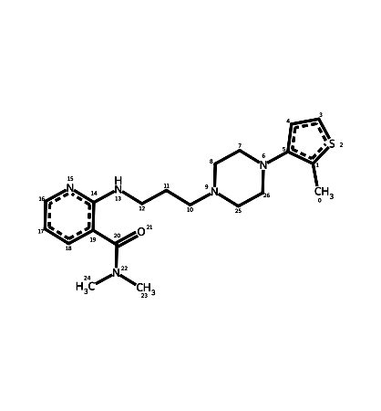 Cc1sccc1N1CCN(CCCNc2ncccc2C(=O)N(C)C)CC1